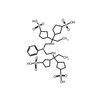 CCC(PCN(CPC(CC)(C1CCC(S(=O)(=O)O)C1)C1CCC(S(=O)(=O)O)C1)c1ccccc1)(C1CCC(S(=O)(=O)O)C1)C1CCC(S(=O)(=O)O)C1